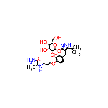 CC(C)c1[nH]nc(O[C@@H]2O[C@H](CO)[C@@H](O)[C@H](O)[C@H]2O)c1Cc1ccc(OCCCN[C@@H](C)C(N)=O)cc1